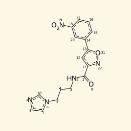 O=C(NCCCn1ccnc1)c1cc(-c2cccc([N+](=O)[O-])c2)on1